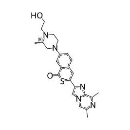 Cc1cn2cc(-c3cc4ccc(N5CCN(CCO)[C@H](C)C5)cc4c(=O)s3)nc2c(C)n1